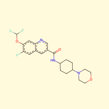 O=C(NC1CCC(N2CCOCC2)CC1)c1cnc2cc(OC(F)F)c(F)cc2c1